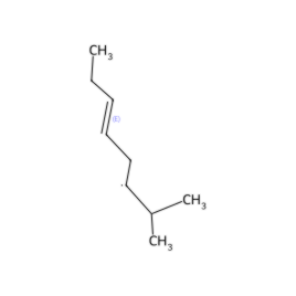 CC/C=C/C[CH]C(C)C